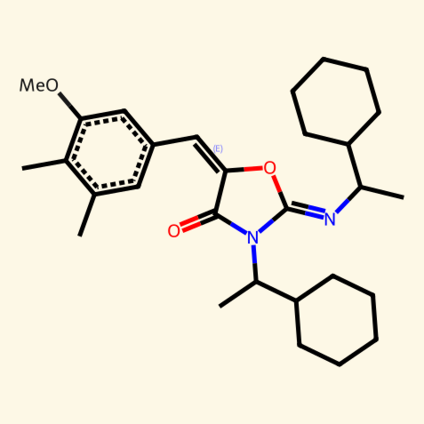 COc1cc(/C=C2/OC(=NC(C)C3CCCCC3)N(C(C)C3CCCCC3)C2=O)cc(C)c1C